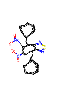 O=[N+]([O-])c1c([N+](=O)[O-])c(-c2ccccc2)c2nsnc2c1-c1ccccc1